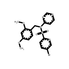 COc1ccc(CN(c2ccncn2)S(=O)(=O)c2ccc(Br)cn2)c(OC)c1